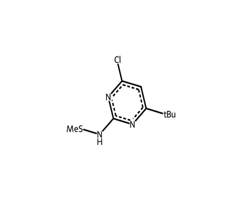 CSNc1nc(Cl)cc(C(C)(C)C)n1